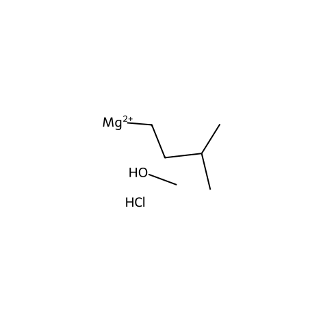 CC(C)C[CH2][Mg+2].CO.Cl